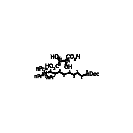 CCCCCCCCCCCCCCCCCC[N+](CCC)(CCC)CCC.O=C(O)C(O)C(O)C(=O)O